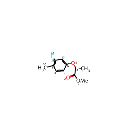 COC(=O)[C@@H](C)Oc1ccc(C)c(F)c1